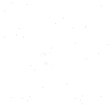 C=C1NC2(c3ccccc3F)COC(CO)C2S(=O)(=O)N1C